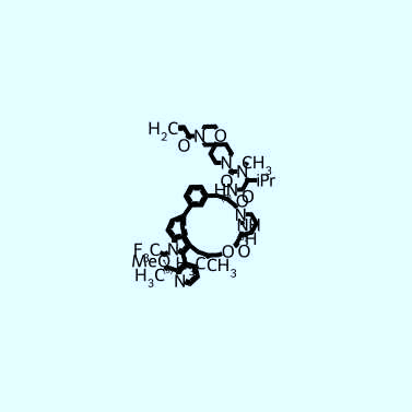 C=CC(=O)N1CCOC2(CCN(C(=O)N(C)C(C(=O)N[C@H]3Cc4cccc(c4)-c4ccc5c(c4)c(c(-c4cccnc4[C@H](C)OC)n5CC(F)(F)F)CC(C)(C)COC(=O)[C@@H]4CCCN(N4)C3=O)C(C)C)CC2)C1